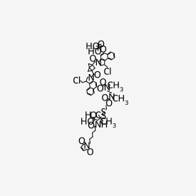 CN(CCN(C)C(=O)Oc1cc2c(c3ccccc13)C(CCl)CN2C(=O)C12CC3(C(=O)N4CC(CCl)c5c4cc(OP(=O)(O)O)c4ccccc54)CC13C2)C(=O)OCCSSC(C)(C)C(NC(=O)CCCCCN1C(=O)C=CC1=O)C(=O)O